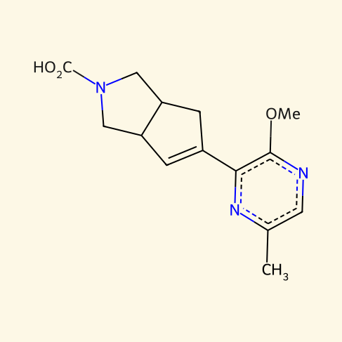 COc1ncc(C)nc1C1=CC2CN(C(=O)O)CC2C1